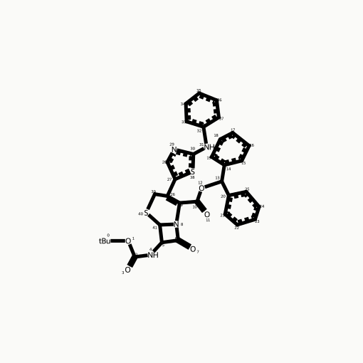 CC(C)(C)OC(=O)NC1C(=O)N2C(C(=O)OC(c3ccccc3)c3ccccc3)=C(c3cnc(Nc4ccccc4)s3)CSC12